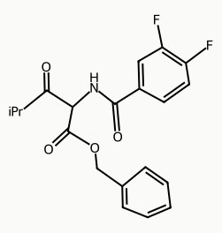 CC(C)C(=O)C(NC(=O)c1ccc(F)c(F)c1)C(=O)OCc1ccccc1